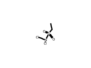 CCS(=O)(=O)N(Cl)Cl